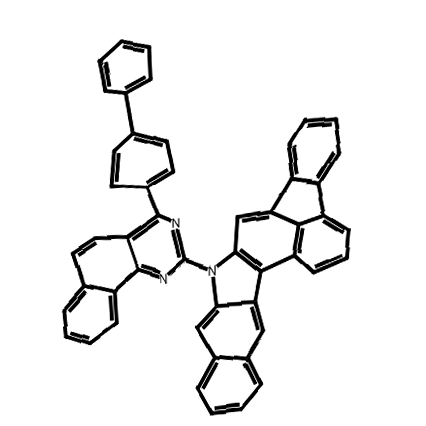 c1ccc(-c2ccc(-c3nc(-n4c5cc6ccccc6cc5c5c6cccc7c6c(cc54)-c4ccccc4-7)nc4c3ccc3ccccc34)cc2)cc1